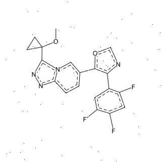 COC1(c2nnc3ccc(-c4ocnc4-c4cc(F)c(F)cc4F)cn23)CC1